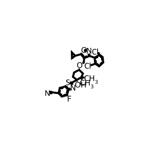 CC1(C)C[C@@H](OCc2c(-c3c(Cl)cccc3Cl)noc2C2CC2)CC[C@]1(O)c1nc2c(F)cc(C#N)cc2s1